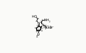 CCn1c(CN)[n+](CCO)c2ccc(OC)cc21.Cl.[Br-]